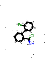 N=C(Cl)c1ccccc1-c1ccccc1F